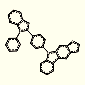 c1ccc(-n2c(-c3ccc(-n4c5ccccc5c5cc6ccsc6cc54)cc3)nc3ccccc32)cc1